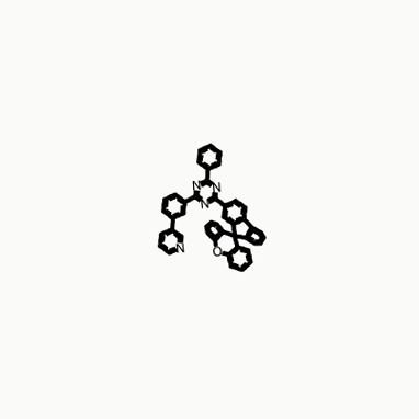 c1ccc(-c2nc(-c3cccc(-c4cccnc4)c3)nc(-c3ccc4c(c3)C3(c5ccccc5Oc5ccccc53)c3ccccc3-4)n2)cc1